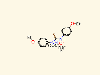 CCOc1ccc(NC(=S)Nc2ccc(OCC)cc2)cc1.O=C([O-])[O-].[K+].[Na+]